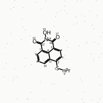 CCCSc1ccc2c3c(cccc13)C(=O)N(O)C2=O